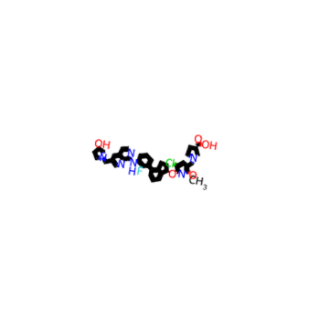 COc1nc(O[C@@H]2CCc3c(-c4cccc(Nc5nccc6cc(CN7CC[C@@H](O)C7)cnc56)c4F)cccc32)c(Cl)cc1CN1CC[C@@H](C(=O)O)C1